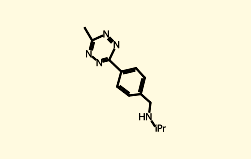 Cc1nnc(-c2ccc(CNC(C)C)cc2)nn1